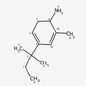 CCC(C)(C)C1=CCC(N)C(C)=C1